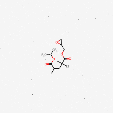 CCC(C)(CC(C)C(=O)OC(C(F)(F)F)C(F)(F)F)C(=O)OCC1CO1